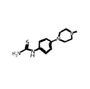 CN1CCN(c2ccc(NC(N)=S)cc2)CC1